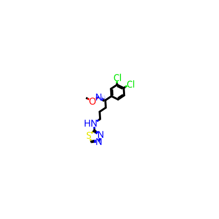 CO/N=C(\CCCNc1nncs1)c1ccc(Cl)c(Cl)c1